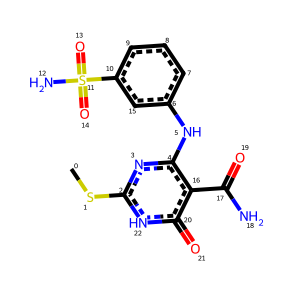 CSc1nc(Nc2cccc(S(N)(=O)=O)c2)c(C(N)=O)c(=O)[nH]1